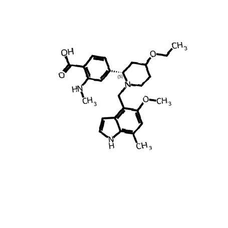 CCOC1CCN(Cc2c(OC)cc(C)c3[nH]ccc23)[C@H](c2ccc(C(=O)O)c(NC)c2)C1